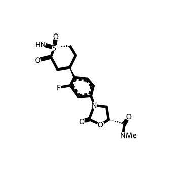 CNC(=O)[C@H]1CN(c2ccc([C@@H]3CC[S@](=N)(=O)C(=O)C3)c(F)c2)C(=O)O1